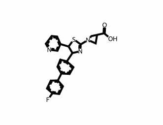 O=C(O)C1CN(C2=NC(c3ccc(-c4ccc(F)cc4)cc3)C(c3cccnc3)S2)C1